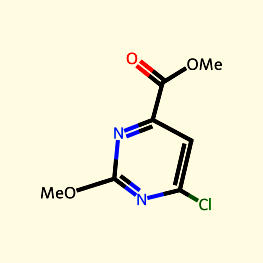 COC(=O)c1cc(Cl)nc(OC)n1